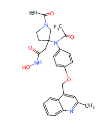 Cc1cc(COc2ccc(N(C(=O)C(F)(F)F)C3(CC(=O)NO)CCN(C(=O)C(C)(C)C)C3)cc2)c2ccccc2n1